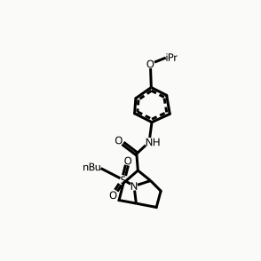 CCCCS(=O)(=O)N1C2CCC(C(=O)Nc3ccc(OC(C)C)cc3)C1CC2